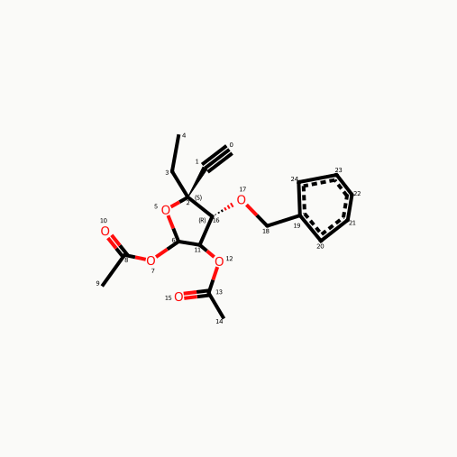 C#C[C@]1(CC)OC(OC(C)=O)C(OC(C)=O)[C@H]1OCc1ccccc1